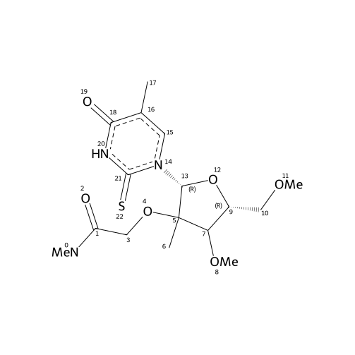 CNC(=O)COC1(C)C(OC)[C@@H](COC)O[C@H]1n1cc(C)c(=O)[nH]c1=S